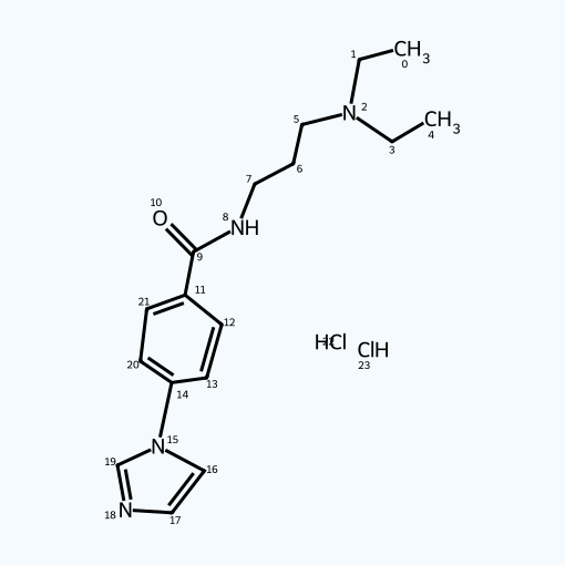 CCN(CC)CCCNC(=O)c1ccc(-n2ccnc2)cc1.Cl.Cl